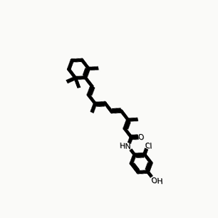 CC(C=CC1=C(C)CCCC1(C)C)=CC=CC(C)=CC(=O)Nc1ccc(O)cc1Cl